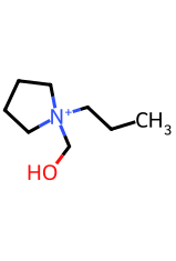 CCC[N+]1(CO)CCCC1